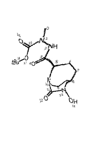 CN(NC(=O)C1CCC2CN1C(=O)N2O)C(=O)OC(C)(C)C